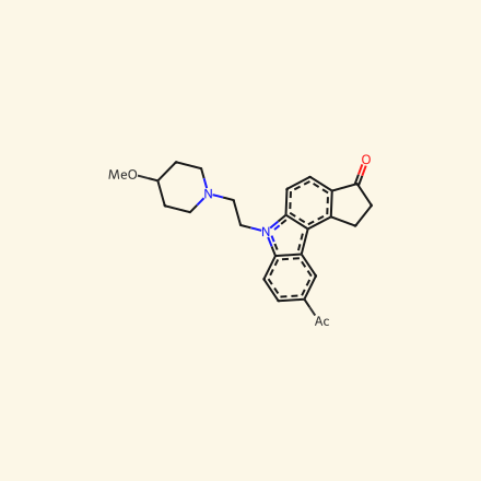 COC1CCN(CCn2c3ccc(C(C)=O)cc3c3c4c(ccc32)C(=O)CC4)CC1